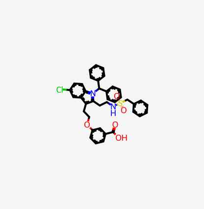 O=C(O)c1cccc(OCCc2c(CCNS(=O)(=O)Cc3ccccc3)n(C(c3ccccc3)c3ccccc3)c3ccc(Cl)cc23)c1